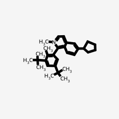 Cc1c(-c2c3ccc(C4CCCC4)cc3cc[n+]2C)cc(C(C)(C)C)cc1C(C)(C)C